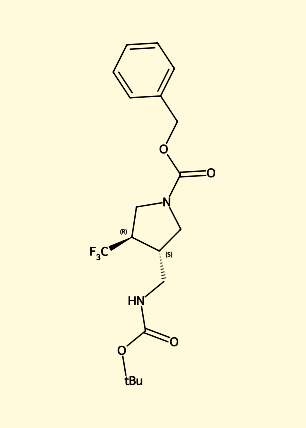 CC(C)(C)OC(=O)NC[C@H]1CN(C(=O)OCc2ccccc2)C[C@@H]1C(F)(F)F